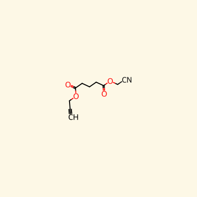 C#CCOC(=O)CCCC(=O)OCC#N